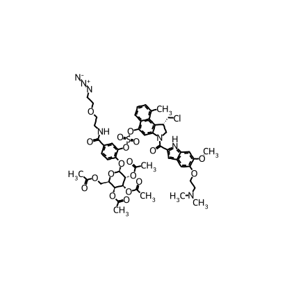 COc1cc2[nH]c(C(=O)N3C[C@@H](CCl)c4c3cc(OS(=O)(=O)Oc3cc(C(=O)NCCOCCN=[N+]=[N-])ccc3O[C@@H]3O[C@H](COC(C)=O)[C@H](OC(C)=O)[C@H](OC(C)=O)[C@H]3OC(C)=O)c3cccc(C)c43)cc2cc1OCCN(C)C